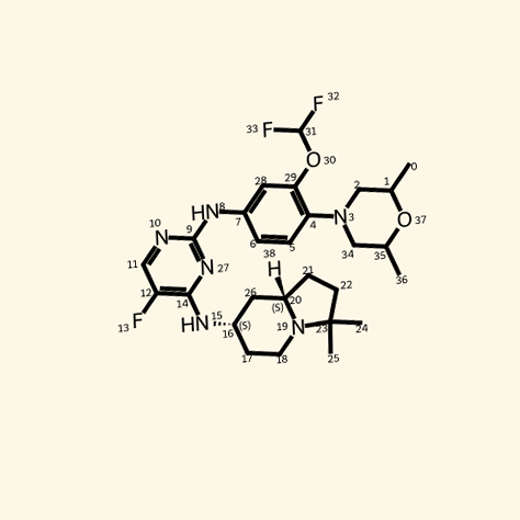 CC1CN(c2ccc(Nc3ncc(F)c(N[C@H]4CCN5[C@@H](CCC5(C)C)C4)n3)cc2OC(F)F)CC(C)O1